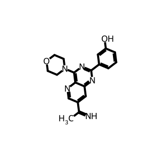 CC(=N)c1cnc2c(N3CCOCC3)nc(-c3cccc(O)c3)nc2c1